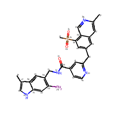 Cc1cc2cc(Cc3cc(C(=O)NCc4cc5c(C)c[nH]c5cc4P)ccn3)cc(S(C)(=O)=O)c2cn1